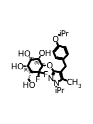 Cc1c(Cc2ccc(OC(C)C)cc2)c(O[C@H]2[C@H](O)[C@@H](O)[C@H](O)[C@@H](CO)C2(F)F)nn1C(C)C